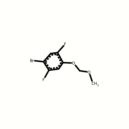 COCOc1cc(F)c(Br)[c]c1F